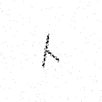 FCCOCCOCC[O][Al]([O]CCOCCOCCF)[O]CCOCCOCCF